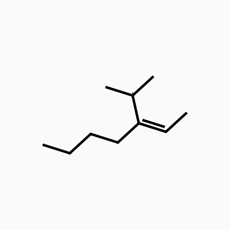 CC=C(CCCC)[C](C)C